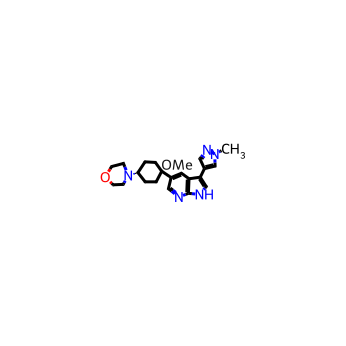 CO[C@]1(c2cnc3[nH]cc(-c4cnn(C)c4)c3c2)CC[C@H](N2CCOCC2)CC1